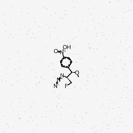 CO[C@H](c1ccc([N+](=O)O)cc1)[C@@H](CF)N=[N+]=[N-]